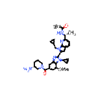 COc1cc(C(=O)N2CCC[C@@H](N)C2)cc2nc(-c3cc4ccc([C@@H](C)NC(=O)C(C)(C)C)nc4n3CC3CC3)n(C3CC3)c12